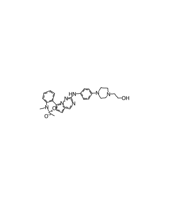 CN(c1ccccc1-c1ccc2cnc(Nc3ccc(N4CCN(CCO)CC4)cc3)nn12)S(C)(=O)=O